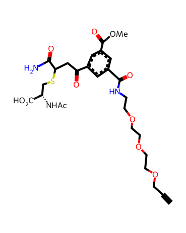 C#CCOCCOCCOCCNC(=O)c1cc(C(=O)CC(SC[C@H](NC(C)=O)C(=O)O)C(N)=O)cc(C(=O)OC)c1